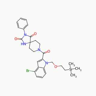 C[Si](C)(C)CCOCn1c(C(=O)N2CCC3(CC2)NC(=O)N(c2ccccc2)C3=O)cc2c(Br)cccc21